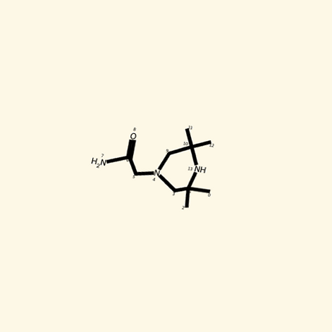 CC1(C)CN(CC(N)=O)CC(C)(C)N1